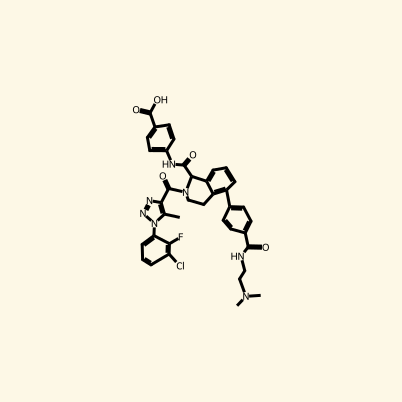 Cc1c(C(=O)N2CCc3c(-c4ccc(C(=O)NCCN(C)C)cc4)cccc3C2C(=O)Nc2ccc(C(=O)O)cc2)nnn1-c1cccc(Cl)c1F